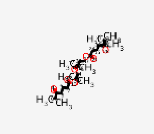 CC(C)C(=O)CCCC(=O)OC(C)(C)COC(C)(C)CCOC(=O)CCCC(=O)C(C)(C)C